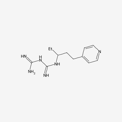 CCC(CCc1ccncc1)NC(=N)NC(=N)N